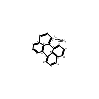 O[SiH3].c1cc2cccc3c4cccc5cccc(c(c1)c23)c54